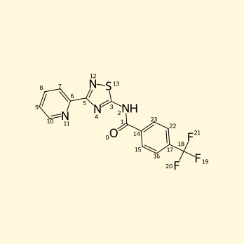 O=C(Nc1nc(-c2ccccn2)ns1)c1ccc(C(F)(F)F)cc1